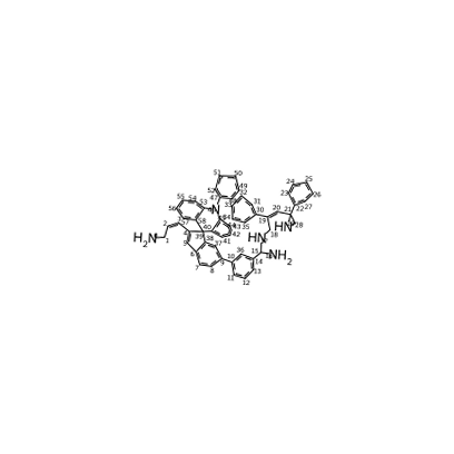 NC/C=C\C1=Cc2ccc(-c3cccc(C(N)NC/C(=C\C4(c5ccccc5)CN4)c4ccccc4)c3)cc2C12c1ccccc1N(c1ccccc1)c1ccccc12